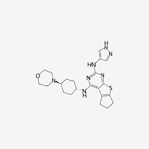 c1n[nH]cc1Nc1nc(N[C@H]2CC[C@H](N3CCOCC3)CC2)c2c3c(sc2n1)CCC3